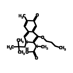 CCCCOc1c2cc(=O)c(C)cc-2cn(CC(C)(C)C)c1N(C)C(=O)O